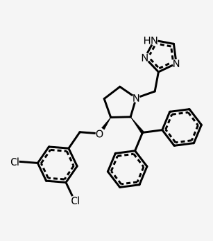 Clc1cc(Cl)cc(CO[C@H]2CCN(Cc3nc[nH]n3)[C@H]2C(c2ccccc2)c2ccccc2)c1